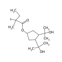 CCC(C)(I)C(=O)OC1CC(C(C)(C)O)C(C(C)(C)O)C1